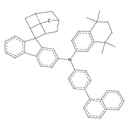 CC1(C)CCC(C)(C)c2cc(N(c3ccc(-c4cccc5ccccc45)cc3)c3ccc4c(c3)C3(c5ccccc5-4)C4CC5CC6CC3C64C5)ccc21